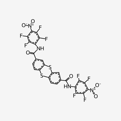 O=C(Nc1c(F)c(F)c([N+](=O)[O-])c(F)c1F)c1ccc2c(c1)Sc1cc(C(=O)Nc3c(F)c(F)c([N+](=O)[O-])c(F)c3F)ccc1S2